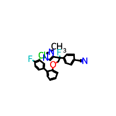 Cn1cncc1C(F)(COc1ccccc1-c1ccc(F)c(Cl)c1)c1ccc(C#N)cc1